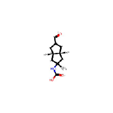 CC1(NC(=O)O)C[C@H]2CC(C=O)C[C@H]2C1